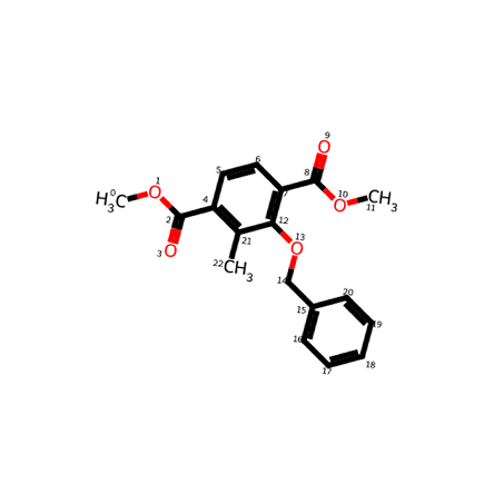 COC(=O)c1ccc(C(=O)OC)c(OCc2ccccc2)c1C